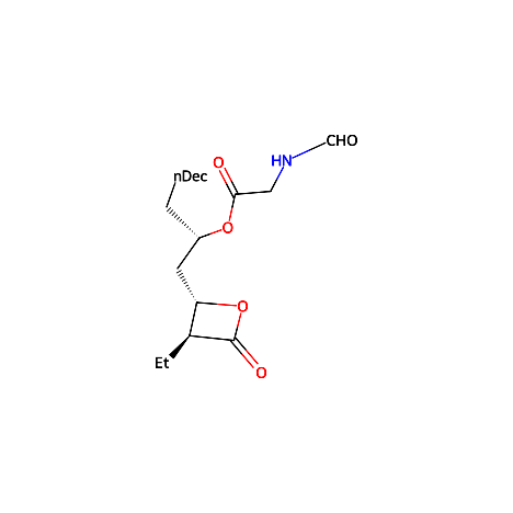 CCCCCCCCCCC[C@@H](C[C@@H]1OC(=O)[C@H]1CC)OC(=O)CNC=O